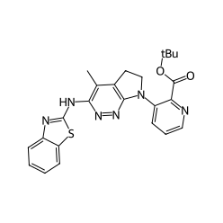 Cc1c(Nc2nc3ccccc3s2)nnc2c1CCN2c1cccnc1C(=O)OC(C)(C)C